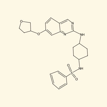 O=S(=O)(NC1CCC(Nc2ncc3ccc(OC4CCOC4)cc3n2)CC1)c1ccccc1